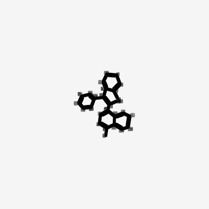 Cc1ccc(-c2sc3ccccc3c2-c2ccccc2)c2ccccc12